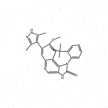 COc1cc2c(cc1-c1c(C)n[nH]c1C)ncc1[nH]c(=O)n(-c3ccccc3C(C)(C)C)c12